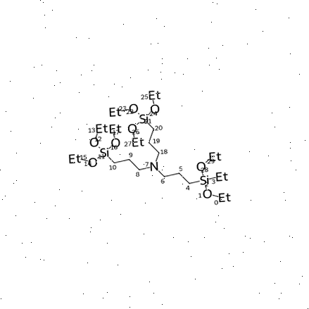 CCO[Si](CC)(CCCN(CCC[Si](OCC)(OCC)OCC)CCC[Si](OCC)(OCC)OCC)OCC